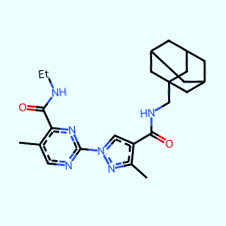 CCNC(=O)c1nc(-n2cc(C(=O)NCC34CC5CC(CC(C5)C3)C4)c(C)n2)ncc1C